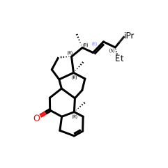 CC[C@H](/C=C/[C@@H](C)[C@H]1CCC2C3CC(=O)C4CC=CC[C@]4(C)C3CC[C@@]21C)C(C)C